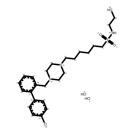 Cl.Cl.O=S(=O)(CCCCCCN1CCN(Cc2ccccc2-c2ccc(Cl)cc2)CC1)NCCO